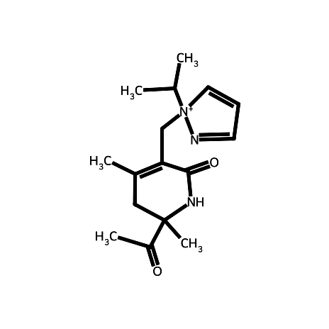 CC(=O)C1(C)CC(C)=C(C[N+]2(C(C)C)C=CC=N2)C(=O)N1